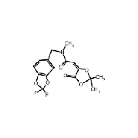 CN(Cc1ccc2c(c1)OC(F)(F)O2)C(=O)C=C1OC(C)(C)OC1=O